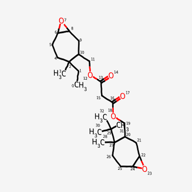 CCC1(C)CCC2OC2CC1COC(=O)CC(=O)OCC1CC2OC2CCC1(C)C(C)(C)C